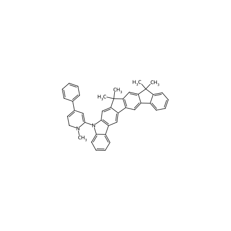 CN1CC=C(c2ccccc2)C=C1n1c2ccccc2c2cc3c(cc21)C(C)(C)c1cc2c(cc1-3)-c1ccccc1C2(C)C